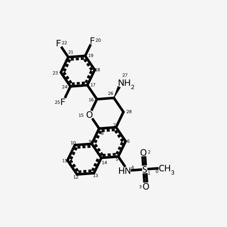 CS(=O)(=O)Nc1cc2c(c3ccccc13)OC(c1cc(F)c(F)cc1F)[C@@H](N)C2